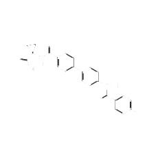 O=C([AsH]c1ccc(-c2ccc(C(=O)[AsH]C3(C(=O)O)CC3)cc2)cc1)c1ccc(Cl)cc1